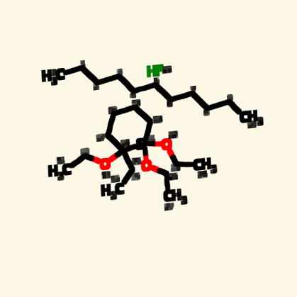 CCCCCCCCCCC.CCOC1(CC)CCCC[Si]1(OCC)OCC.F